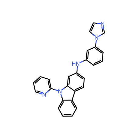 c1ccc(-n2c3ccccc3c3ccc(Nc4cccc(-n5ccnc5)c4)cc32)nc1